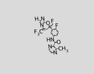 Cc1nccnc1C(=O)Nc1ccc(F)c([C@]2(CF)C[C@@H](C(F)(F)F)N=C(N)O2)c1